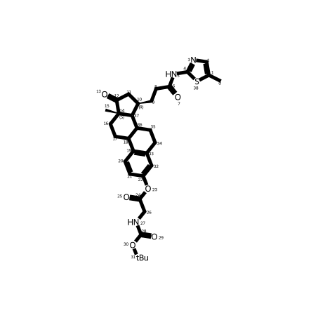 Cc1cnc(NC(=O)CC[C@@H]2CC(=O)[C@@]3(C)CCC4c5ccc(OC(=O)CNC(=O)OC(C)(C)C)cc5CCC4C23)s1